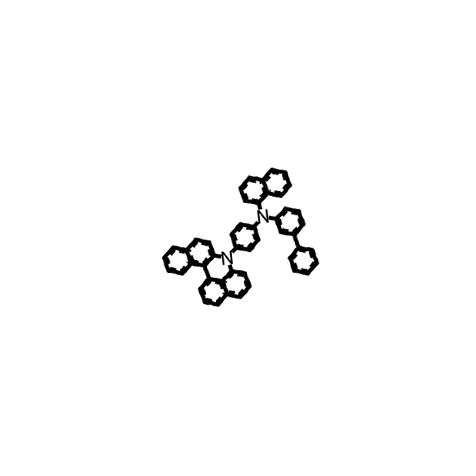 c1ccc(-c2cccc(N(c3ccc(N4c5ccc6ccccc6c5-c5cccc6cccc4c56)cc3)c3cccc4ccccc34)c2)cc1